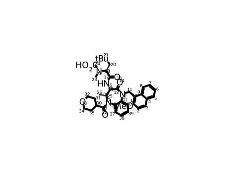 COc1ccc2ccccc2c1CN1C(=O)[C@@H](NC(=O)[C@H](CC(C)(C)C)N(C)C(=O)O)[C@H](C)N(C(=O)C2CCOCC2)c2ccccc21